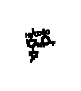 CC(=O)Nc1cc(Nc2cc(F)cc(S(C)(=O)=O)c2)c(-c2ccn(C)n2)cn1